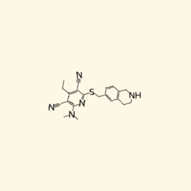 CCc1c(C#N)c(SCc2ccc3c(c2)CCNC3)nc(N(C)C)c1C#N